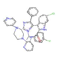 CC(c1ccc(Cl)cc1)n1cnc(-c2ccccc2)c1-c1c(C(=O)Nc2cccnc2N2CCN(c3ccncc3)CC2)[nH]c2cc(Cl)ccc12